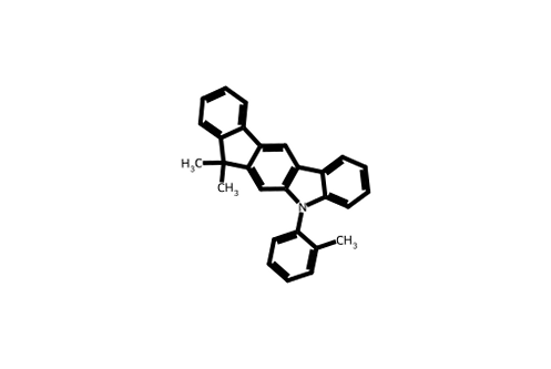 Cc1ccccc1-n1c2ccccc2c2cc3c(cc21)C(C)(C)c1ccccc1-3